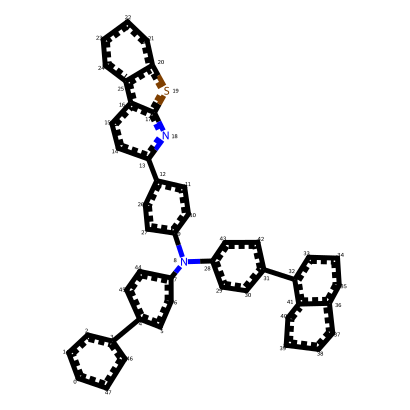 c1ccc(-c2ccc(N(c3ccc(-c4ccc5c(n4)sc4ccccc45)cc3)c3ccc(-c4cccc5ccccc45)cc3)cc2)cc1